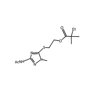 CCC(C)(C)C(=O)OCCSc1nc(NC(C)=O)nn1C